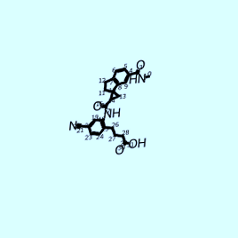 CNC(=O)c1ccc2c(c1)C1(CC2)CC1C(=O)Nc1cc(C#N)ccc1CCCC(=O)O